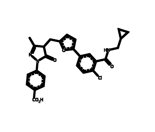 CC1=NN(c2ccc(C(=O)O)cc2)C(=O)C1Cc1ccc(-c2ccc(Cl)c(C(=O)NCC3CC3)c2)o1